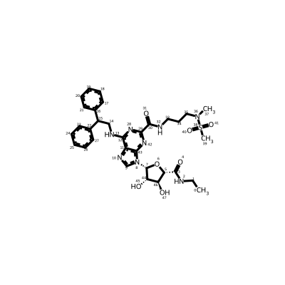 CCNC(=O)[C@H]1O[C@@H](n2cnc3c(NCC(c4ccccc4)c4ccccc4)nc(C(=O)NCCCN(C)S(C)(=O)=O)nc32)[C@@H](O)[C@@H]1O